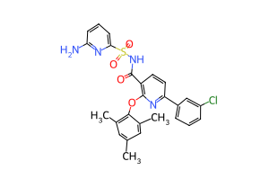 Cc1cc(C)c(Oc2nc(-c3cccc(Cl)c3)ccc2C(=O)NS(=O)(=O)c2cccc(N)n2)c(C)c1